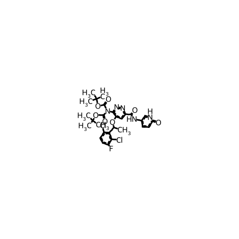 CC(Oc1cc(C(=O)Nc2ccc(=O)[nH]c2)nnc1N(C(=O)OC(C)(C)C)C(=O)OC(C)(C)C)c1c(Cl)ccc(F)c1Cl